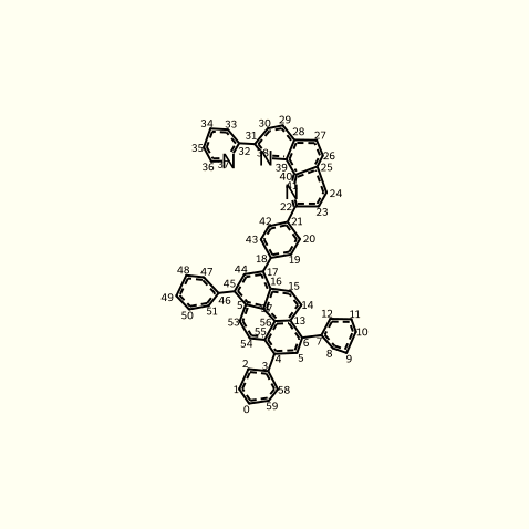 c1ccc(-c2cc(-c3ccccc3)c3ccc4c(-c5ccc(-c6ccc7ccc8ccc(-c9ccccn9)nc8c7n6)cc5)cc(-c5ccccc5)c5ccc2c3c54)cc1